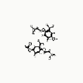 CC(=O)Oc1cc(C(C)C)c(OCCN(C)C)cc1C.Cc1cc(OCCN(C)C)c(C(C)C)cc1O